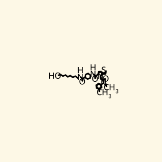 CCN(C(=O)Cn1c(C(=O)NC2CCC(C(=O)NCCCCCCCCO)CC2)cc2sccc21)c1cccc(C)c1